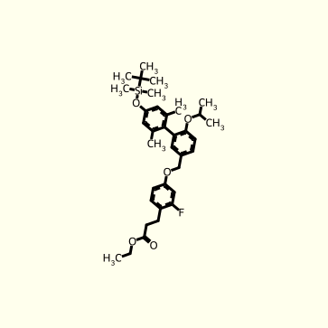 CCOC(=O)CCc1ccc(OCc2ccc(OC(C)C)c(-c3c(C)cc(O[Si](C)(C)C(C)(C)C)cc3C)c2)cc1F